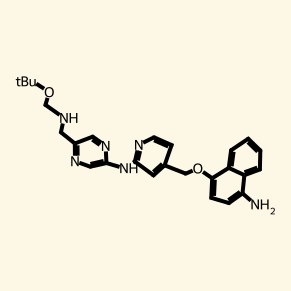 CC(C)(C)OCNCc1cnc(Nc2cc(COc3ccc(N)c4ccccc34)ccn2)cn1